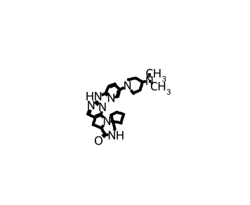 CN(C)C1CCN(c2ccc(Nc3ncc4c(n3)N3C(C4)C(=O)NCC34CCCC4)nc2)CC1